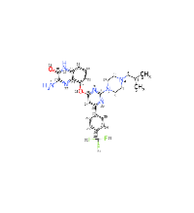 CC(C)CN1CCN(c2nc(Oc3cccc4[nH]c(=O)c(N)nc34)cc(-c3ccc(C(F)(F)F)cc3)n2)CC1